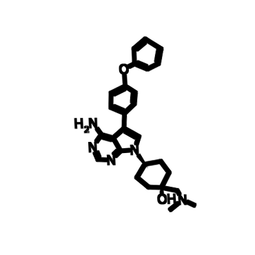 CN(C)C[C@]1(O)CC[C@@H](n2cc(-c3ccc(Oc4ccccc4)cc3)c3c(N)ncnc32)CC1